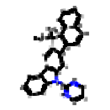 CC1(C)c2cc3c4ccccc4n(-c4ncccn4)c3cc2-c2ccc3ccccc3c21